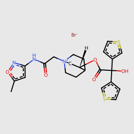 Cc1cc(NC(=O)C[N+]23CCC(CC2)[C@@H](OC(=O)C(O)(c2ccsc2)c2ccsc2)C3)no1.[Br-]